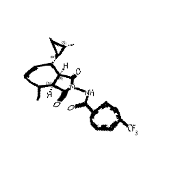 CC1C=CC([C@@H]2C[C@@H]2C)[C@H]2C(=O)N(NC(=O)c3ccc(C(F)(F)F)cc3)C(=O)[C@@H]12